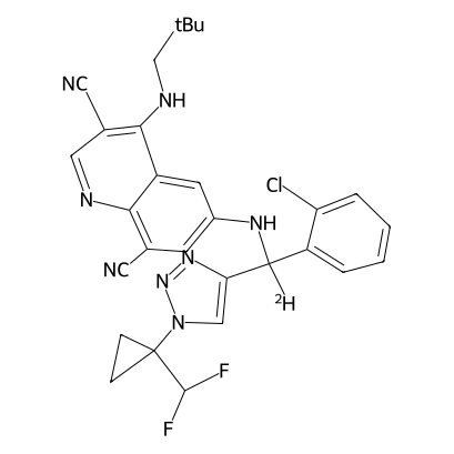 [2H]C(Nc1cc(C#N)c2ncc(C#N)c(NCC(C)(C)C)c2c1)(c1cn(C2(C(F)F)CC2)nn1)c1ccccc1Cl